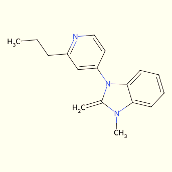 C=C1N(C)c2ccccc2N1c1ccnc(CCC)c1